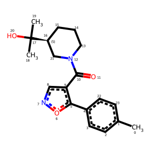 Cc1ccc(-c2oncc2C(=O)N2CCC[C@H](C(C)(C)O)C2)cc1